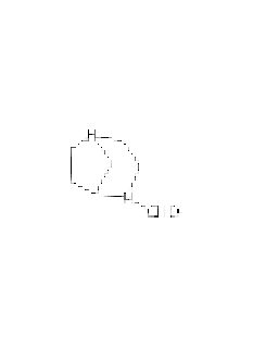 O=[C]N1CCN2CCC1CC2